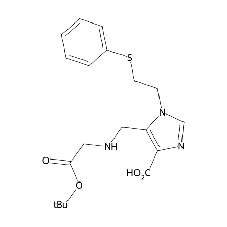 CC(C)(C)OC(=O)CNCc1c(C(=O)O)ncn1CCSc1ccccc1